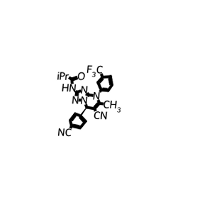 CC1=C(C#N)[C@@H](c2ccc(C#N)cc2)n2nc(NC(=O)C(C)C)nc2N1c1cccc(C(F)(F)F)c1